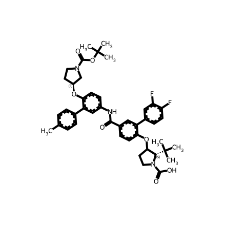 Cc1ccc(-c2cc(NC(=O)c3ccc(OC4CCN(C(=O)O)[C@H]4C(C)(C)C)c(-c4ccc(F)c(F)c4)c3)ccc2O[C@H]2CCN(C(=O)OC(C)(C)C)C2)cc1